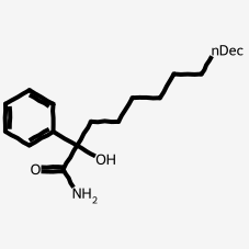 CCCCCCCCCCCCCCCCC(O)(C(N)=O)c1ccccc1